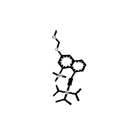 COCOc1c[c]([Sn]([CH3])([CH3])[CH3])c2c(C#C[Si](C(C)C)(C(C)C)C(C)C)cccc2c1